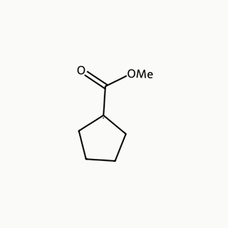 COC(=O)[C]1CCCC1